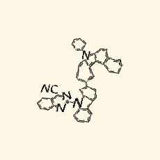 N#Cc1nc(-n2c3ccccc3c3ccc(-c4ccc5c(c4)c4c6ccccc6ccc4n5-c4ccccc4)cc32)nc2ccccc12